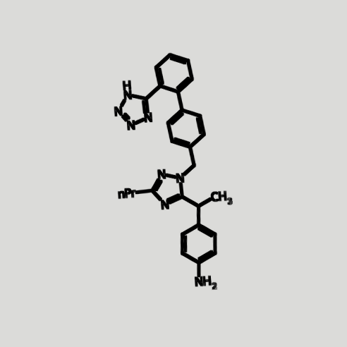 CCCc1nc(C(C)c2ccc(N)cc2)n(Cc2ccc(-c3ccccc3-c3nnn[nH]3)cc2)n1